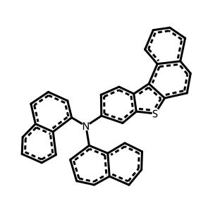 c1ccc2c(N(c3ccc4c(c3)sc3ccc5ccccc5c34)c3cccc4ccccc34)cccc2c1